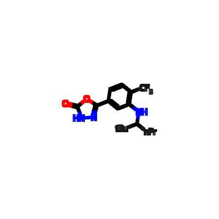 [CH2]CCC(Nc1cc(-c2n[nH]c(=O)o2)ccc1C(F)(F)F)C(C)(C)C